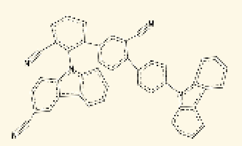 N#Cc1ccc2c(c1)c1ccccc1n2-c1c(C#N)cccc1-c1ccc(-c2ccc(-n3c4ccccc4c4ccccc43)cc2)c(C#N)c1